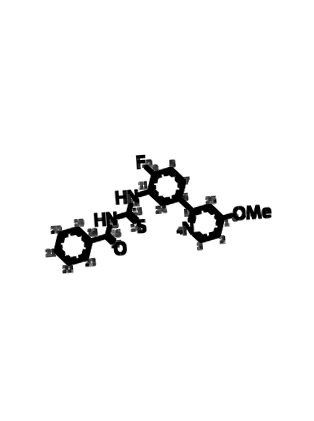 COc1ccnc(-c2ccc(F)c(NC(=S)NC(=O)c3ccccc3)c2)c1